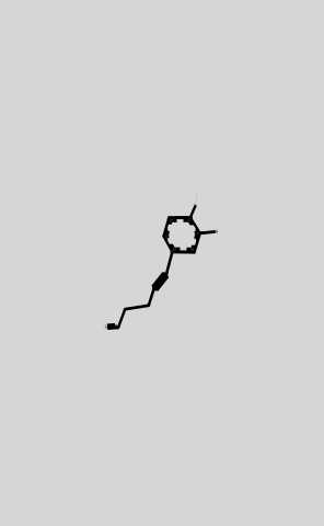 O=CCCC#Cc1ccc(F)c(Cl)c1